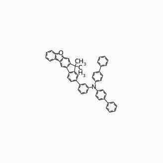 CC1(C)c2cc(-c3cccc(N(c4ccc(-c5ccccc5)cc4)c4ccc(-c5ccccc5)cc4)c3)ccc2-c2cc3c(cc21)oc1ccccc13